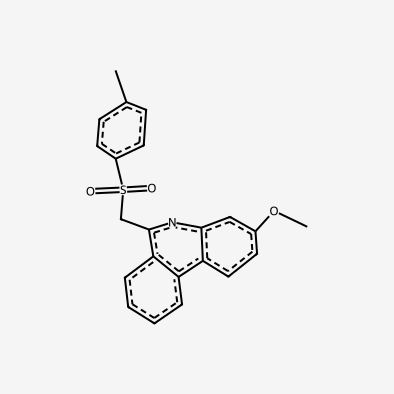 COc1ccc2c(c1)nc(CS(=O)(=O)c1ccc(C)cc1)c1ccccc12